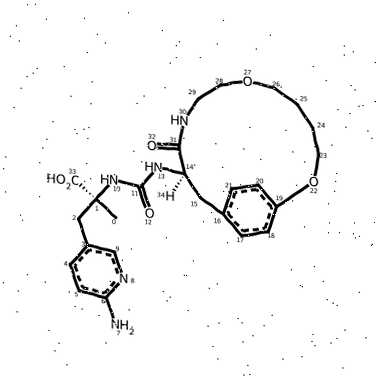 C[C@@](Cc1ccc(N)nc1)(NC(=O)N[C@@H]1Cc2ccc(cc2)OCCCCOCCNC1=O)C(=O)O